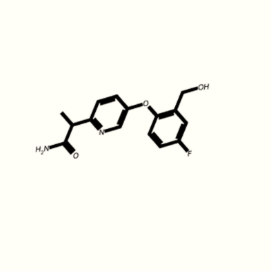 CC(C(N)=O)c1ccc(Oc2ccc(F)cc2CO)cn1